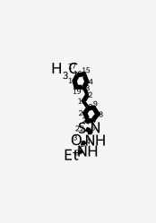 CCNC(=O)Nc1nc2ccc(/C=C/c3ccc(C)cc3)cc2s1